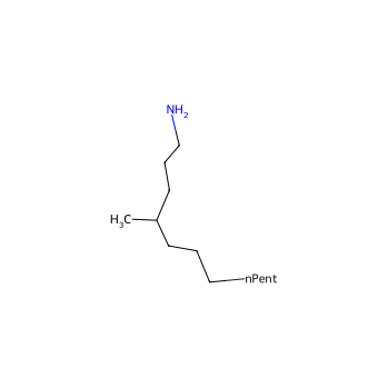 CCCCCCCCC(C)CCCN